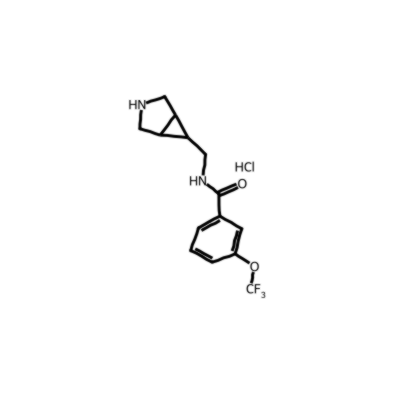 Cl.O=C(NCC1C2CNCC21)c1cccc(OC(F)(F)F)c1